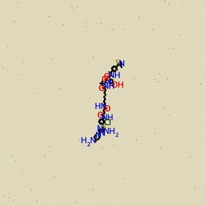 Cc1ncsc1-c1ccc([C@H](C)NC(=O)[C@@H]2C[C@@H](O)CN2C(=O)[C@@H](NC(=O)CCCCCCCNC(=O)CCC(=O)Nc2cccc(Sc3ncc(N4CCC(C)(N)CC4)nc3N)c2Cl)C(C)(C)C)cc1